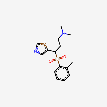 Cc1ccccc1S(=O)(=O)C(CCN(C)C)c1cncs1